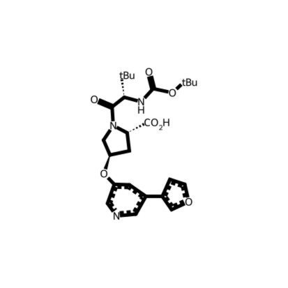 CC(C)(C)OC(=O)N[C@H](C(=O)N1C[C@H](Oc2cncc(-c3ccoc3)c2)C[C@H]1C(=O)O)C(C)(C)C